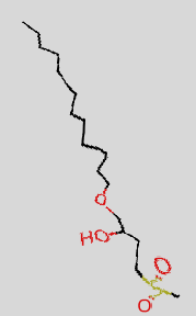 CCCCCCCCCCCCOCC(O)CCS(C)(=O)=O